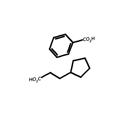 O=C(O)CCC1CCCC1.O=C(O)c1ccccc1